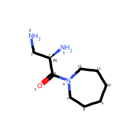 NC[C@@H](N)C(=O)N1CCCCCC1